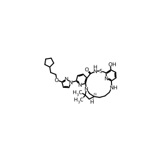 CC1(C)C[C@@H]2CCCNc3ccc(O)c(n3)SNC(=O)c3ccc(-n4ccc(OCCC5CCCC5)n4)nc3N1C2